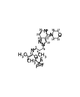 CC(C)=C(/N=C\[C@@H](C)Cn1cc2c(N3CCOCC3)nccc2n1)OCC(F)(F)F